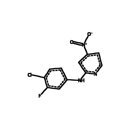 O=[N+]([O-])c1ccnc(Nc2ccc(Cl)c(F)c2)c1